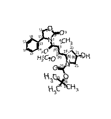 CO[C@H]([C@@H](C)C(=O)N1C(=O)OCC1c1ccccc1)[C@@H]1C[C@@H](O)CN1C(=O)OC(C)(C)C